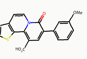 COc1cccc(-c2cc(C(=O)O)c3c4sccc4ccn3c2=O)c1